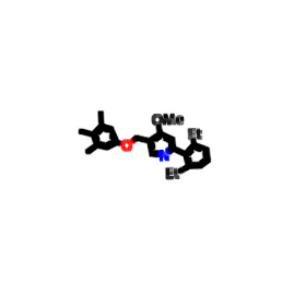 CCc1cccc(CC)c1-c1cc(OC)c(COc2cc(C)c(C)c(C)c2)cn1